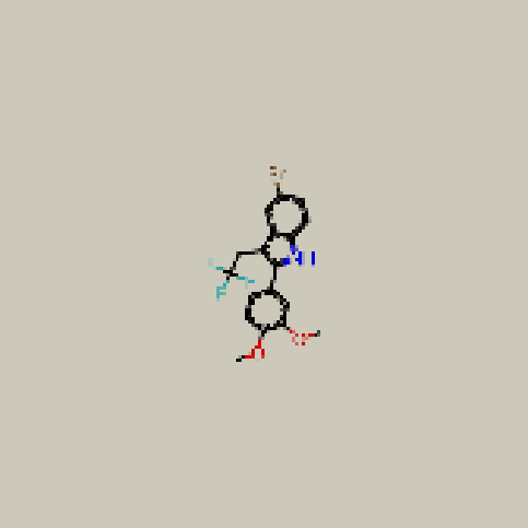 COc1ccc(-c2[nH]c3ccc(Br)cc3c2CC(F)(F)F)cc1OC